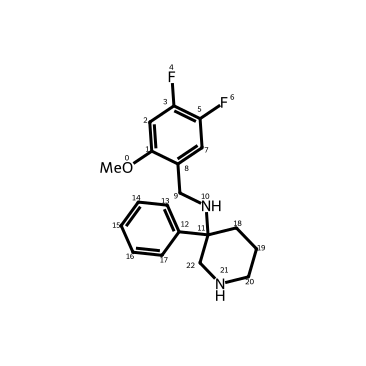 COc1cc(F)c(F)cc1CNC1(c2ccccc2)CCCNC1